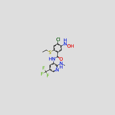 CCSc1cc(Cl)c(NO)cc1C(=O)Nc1cc(C(F)(F)F)cnc1NC